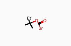 CCC(C)(C)OC(=O)Br